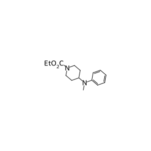 CCOC(=O)N1CCC(N(C)c2ccccc2)CC1